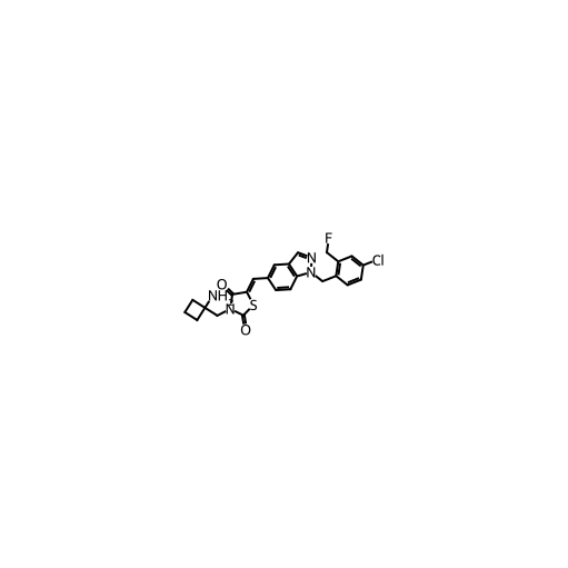 NC1(CN2C(=O)S/C(=C\c3ccc4c(cnn4Cc4ccc(Cl)cc4CF)c3)C2=O)CCC1